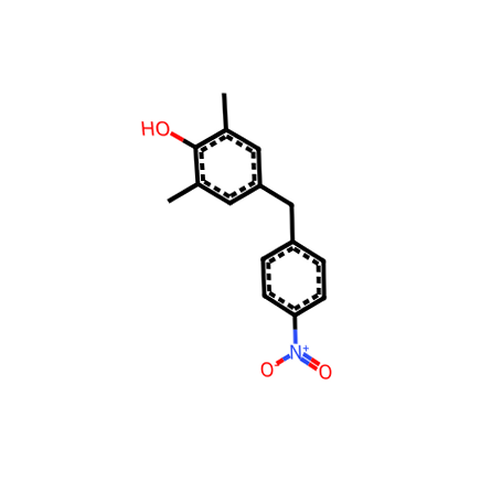 Cc1cc(Cc2ccc([N+](=O)[O-])cc2)cc(C)c1O